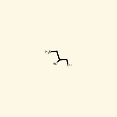 OCC(O)C[SiH3]